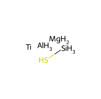 [AlH3].[MgH2].[SiH3]S.[Ti]